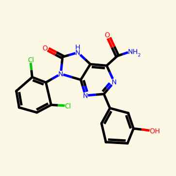 NC(=O)c1nc(-c2cccc(O)c2)nc2c1[nH]c(=O)n2-c1c(Cl)cccc1Cl